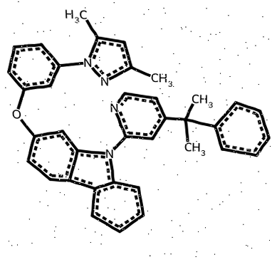 Cc1cc(C)n(-c2cccc(Oc3ccc4c5ccccc5n(-c5cc(C(C)(C)c6ccccc6)ccn5)c4c3)c2)n1